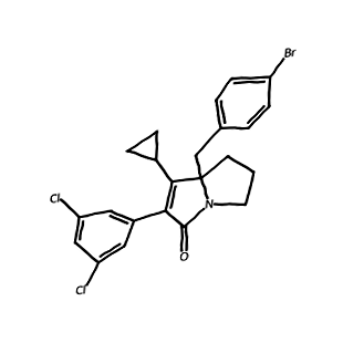 O=C1C(c2cc(Cl)cc(Cl)c2)=C(C2CC2)C2(Cc3ccc(Br)cc3)CCCN12